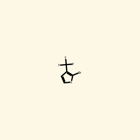 FC(F)(F)c1ccsc1Br